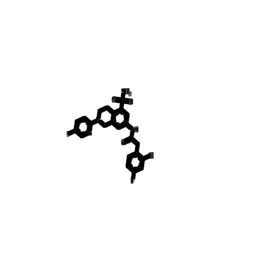 NS(=O)(=O)c1cc(NC(=O)Cc2ccc(F)cc2Cl)cc2c1CCN(c1ccc(I)cn1)C2